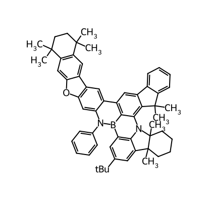 CC(C)(C)c1cc2c3c(c1)C1(C)CCCCC1(C)N3c1c3c(cc4c1C(C)(C)c1ccccc1-4)-c1cc4c(cc1N(c1ccccc1)B23)oc1cc2c(cc14)C(C)(C)CCC2(C)C